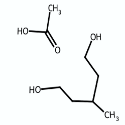 CC(=O)O.CC(CCO)CCO